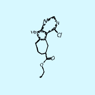 CCOC(=O)C1CCc2[nH]c3ncnc(Cl)c3c2C1